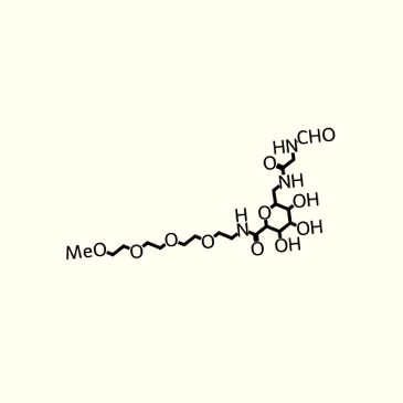 COCCOCCOCCOCCNC(=O)C1OC(CNC(=O)CNC=O)C(O)C(O)C1O